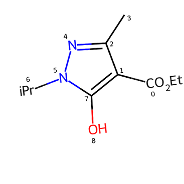 CCOC(=O)c1c(C)nn(C(C)C)c1O